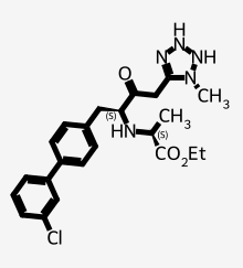 CCOC(=O)[C@H](C)N[C@@H](Cc1ccc(-c2cccc(Cl)c2)cc1)C(=O)CC1=NNNN1C